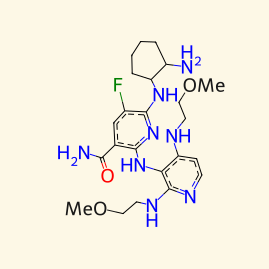 COCCNc1ccnc(NCCOC)c1Nc1nc(NC2CCCCC2N)c(F)cc1C(N)=O